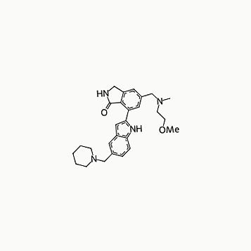 COCCN(C)Cc1cc2c(c(-c3cc4cc(CN5CCCCC5)ccc4[nH]3)c1)C(=O)NC2